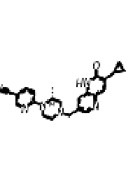 C[C@@H]1CN(Cc2cnc3cc(C4CC4)c(=O)[nH]c3c2)CCN1c1ccc(C#N)cn1